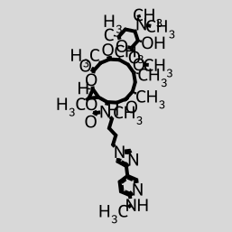 CNc1ccc(-c2cn(CCCCN3C(=O)O[C@]45C(C)[C@H]4OC(=O)[C@H](C)C(=O)[C@H](C)[C@@H](OC4O[C@H](C)C[C@H](N(C)C)[C@H]4O)[C@@](C)(OC)C[C@@H](C)C(=O)[C@H](C)[C@@H]35)cn2)cn1